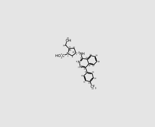 O=C(O)N1C[C@@H](Nc2nnc(-c3ccc(C(F)(F)F)cc3)c3ccccc23)C[C@@H]1CO